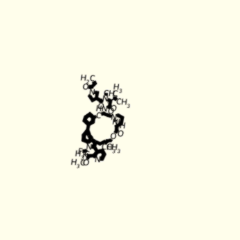 C=CC(=O)N1CCC(C(=O)N(C)[C@H](C(=O)N[C@H]2Cc3cccc(c3)-c3ccc4c(c3)c(c(-c3cccnc3[C@H](C)OC)n4C(F)F)CC(C)(C)COC(=O)[C@@H]3CCCN(N3)C2=O)C(C)C)C1